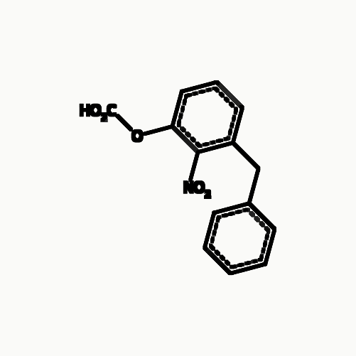 O=C(O)Oc1cccc(Cc2ccccc2)c1[N+](=O)[O-]